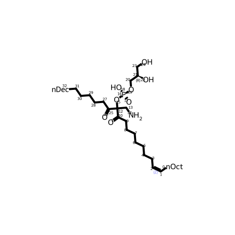 CCCCCCCC/C=C\CCCCCCCC(=O)C(CN)(OP(=O)(O)OC[C@H](O)CO)C(=O)CCCCCCCCCCCCCCC